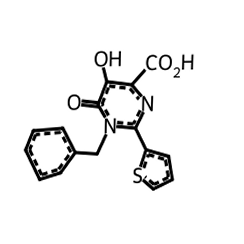 O=C(O)c1nc(-c2cccs2)n(Cc2ccccc2)c(=O)c1O